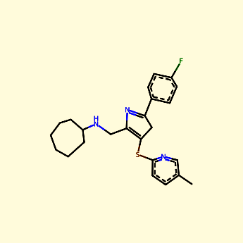 Cc1ccc(SC2=C(CNC3CCCCCC3)N=C(c3ccc(F)cc3)C2)nc1